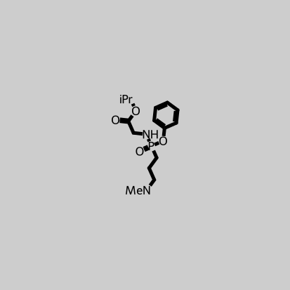 CNCCCP(=O)(NCC(=O)OC(C)C)Oc1ccccc1